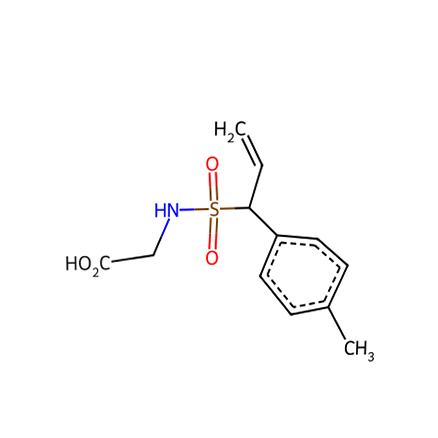 C=CC(c1ccc(C)cc1)S(=O)(=O)NCC(=O)O